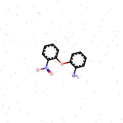 Nc1ccccc1Oc1ccccc1[N+](=O)[O-]